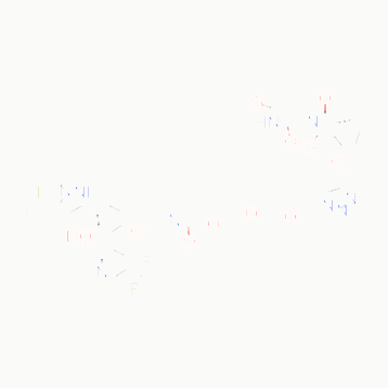 O=C(COCCOCCOCCn1cc(COc2cccc3c2C(=O)N(C2CCC(=O)NC2=O)C3=O)nn1)NCCOc1ccc(-c2cc(C(F)(F)F)n[nH]2)c(O)c1-c1cncc(C(F)(F)F)c1